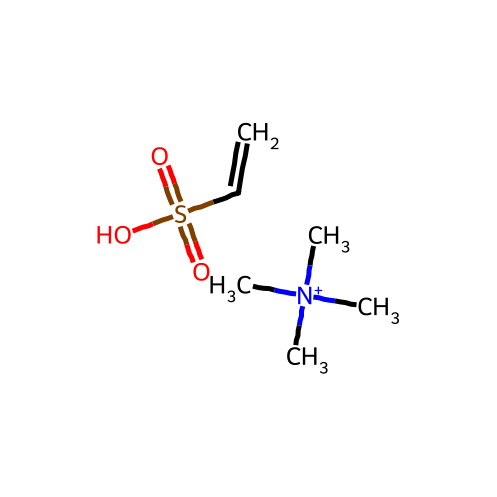 C=CS(=O)(=O)O.C[N+](C)(C)C